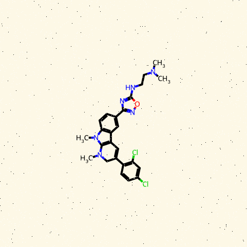 CN(C)CCNc1nc(-c2ccc3c(c2)c2c(n3C)N(C)CC(c3ccc(Cl)cc3Cl)=C2)no1